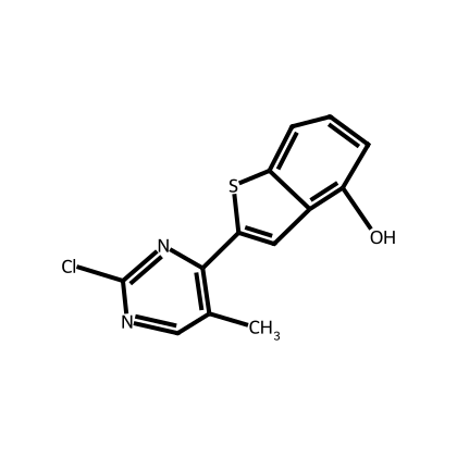 Cc1cnc(Cl)nc1-c1cc2c(O)cccc2s1